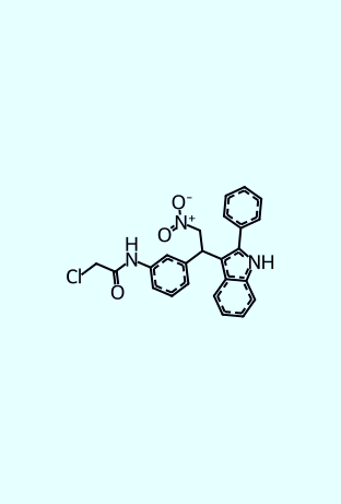 O=C(CCl)Nc1cccc(C(C[N+](=O)[O-])c2c(-c3ccccc3)[nH]c3ccccc23)c1